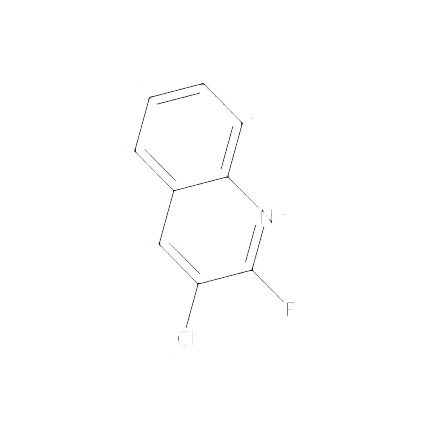 Fc1nc2ccccc2cc1Cl